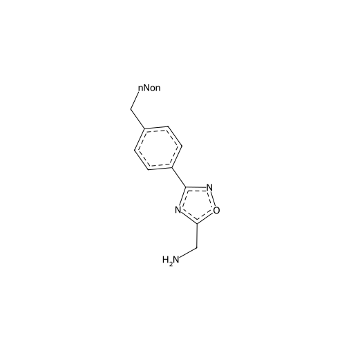 CCCCCCCCCCc1ccc(-c2noc(CN)n2)cc1